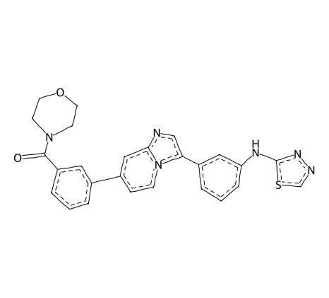 O=C(c1cccc(-c2ccn3c(-c4cccc(Nc5nncs5)c4)cnc3c2)c1)N1CCOCC1